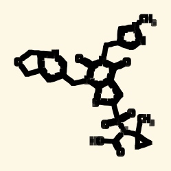 Cn1cc(Cn2c(=O)c3cc(S(=O)(=O)N(C(=O)O)C4(C)CC4)sc3n(Cc3cnc4c(c3)COC4)c2=O)cn1